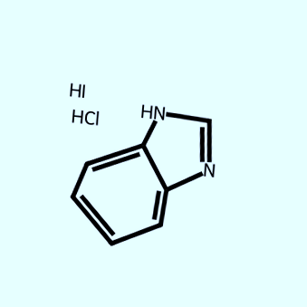 Cl.I.c1ccc2[nH]cnc2c1